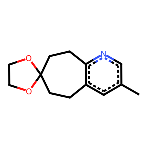 Cc1cnc2c(c1)CCC1(CC2)OCCO1